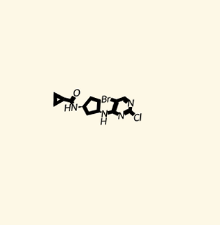 O=C(N[C@@H]1CC[C@H](Nc2nc(Cl)ncc2Br)C1)C1CC1